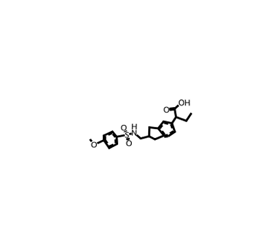 CCC(C(=O)O)c1ccc2c(c1)CC(CNS(=O)(=O)c1ccc(OC)cc1)C2